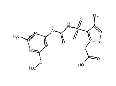 COc1nc(C)nc(NC(=O)NS(=O)(=O)c2c(C)csc2OC(=O)O)n1